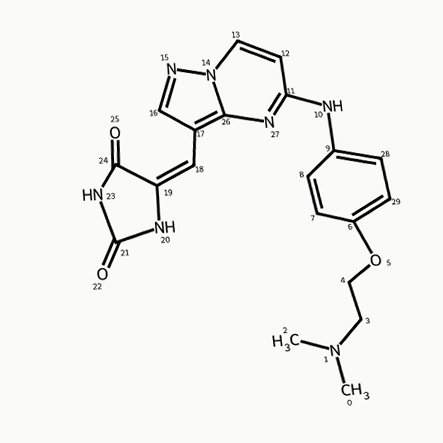 CN(C)CCOc1ccc(Nc2ccn3ncc(C=C4NC(=O)NC4=O)c3n2)cc1